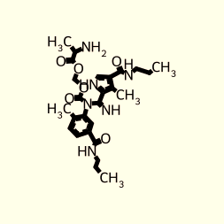 CCCNC(=O)c1ccc(C)c(N(C(=N)c2[nH]cc(C(=O)NCCC)c2C)C(=O)OCOC(=O)C(C)N)c1